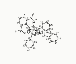 CC(C)c1cccc(C(C)C)c1C(=O)[NH][Zr]([Cl])([Cl])(=[SiH]Cc1ccccc1)[c]1cccc2c1Cc1ccccc1-2